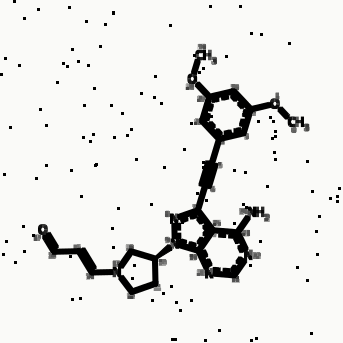 COc1cc(C#Cc2nn([C@H]3CCN(C=CC=O)C3)c3ncnc(N)c23)cc(OC)c1